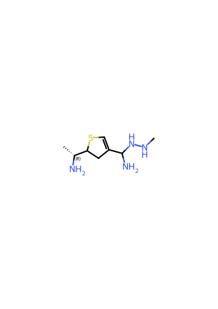 CNNC(N)C1=CSC([C@@H](C)N)C1